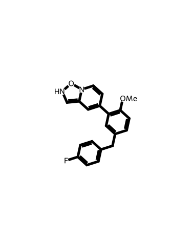 COc1ccc(Cc2ccc(F)cc2)cc1C1=CC2=CNON2C=C1